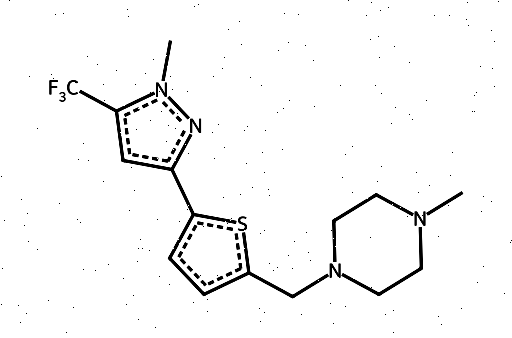 CN1CCN(Cc2ccc(-c3cc(C(F)(F)F)n(C)n3)s2)CC1